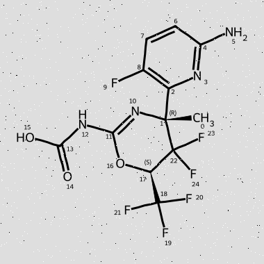 C[C@]1(c2nc(N)ccc2F)N=C(NC(=O)O)O[C@H](C(F)(F)F)C1(F)F